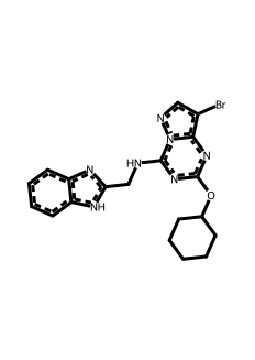 Brc1cnn2c(NCc3nc4ccccc4[nH]3)nc(OC3CCCCC3)nc12